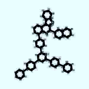 c1ccc(-c2ccc(-c3cc(-c4ccc(-c5ccccc5)cc4)nc(-c4ccc(-c5cccc6c5nc(-c5ccc7ccccc7c5)c5oc7ccccc7c56)cc4)c3)cc2)cc1